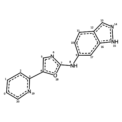 c1ccc(-c2cnc(Nc3ccc4cn[nH]c4c3)o2)nc1